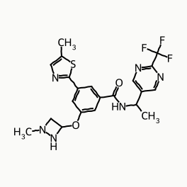 Cc1cnc(-c2cc(OC3CN(C)N3)cc(C(=O)NC(C)c3cnc(C(F)(F)F)nc3)c2)s1